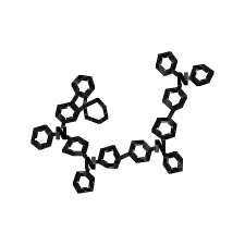 c1ccc(N(c2ccccc2)c2ccc(-c3ccc(N(c4ccccc4)c4ccc(-c5ccc(N(c6ccccc6)c6ccc(N(c7ccccc7)c7ccc8c(c7)C7(CCCCC7)c7ccccc7-8)cc6)cc5)cc4)cc3)cc2)cc1